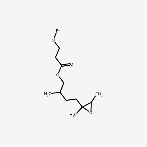 CCOCCC(=O)OCC(C)CCC1(C)OC1C